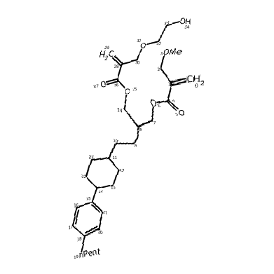 C=C(COC)C(=O)OCC(CCC1CCC(c2ccc(CCCCC)cc2)CC1)COC(=O)C(=C)COCCO